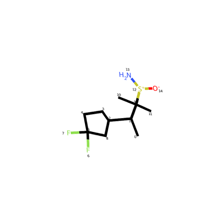 CC(C1CCC(F)(F)C1)C(C)(C)[S+](N)[O-]